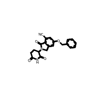 N#Cc1cc(OCc2ccccc2)cc2c1C(=O)N(C1CCC(=O)NC1=O)C2